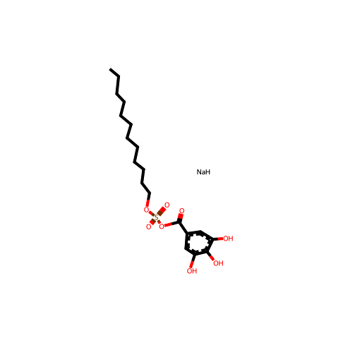 CCCCCCCCCCCCOS(=O)(=O)OC(=O)c1cc(O)c(O)c(O)c1.[NaH]